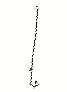 CC/C=C\C/C=C\C/C=C\CCCCCCCC(=O)OCCCCCCCCCCCCCCCCCCCCCCCCCCCCCCCCCCCCCCC(C)C